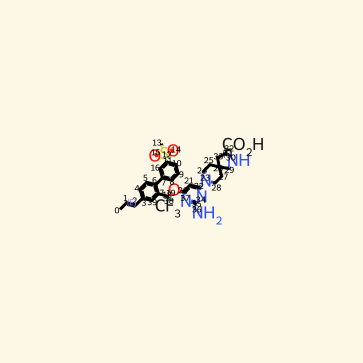 C/C=C/c1ccc(-c2cccc(S(C)(=O)=O)c2)c(C(Oc2cc(N3CCC4(CC3)CN[C@H](C(=O)O)C4)nc(N)n2)C(F)(F)F)c1